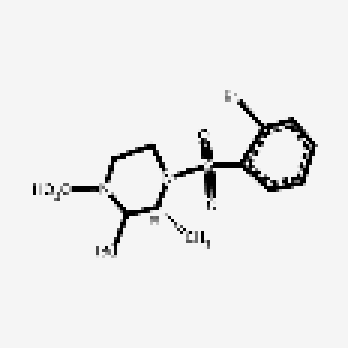 C[C@@H]1C(C(C)(C)C)N(C(=O)O)CCN1S(=O)(=O)c1ccccc1Br